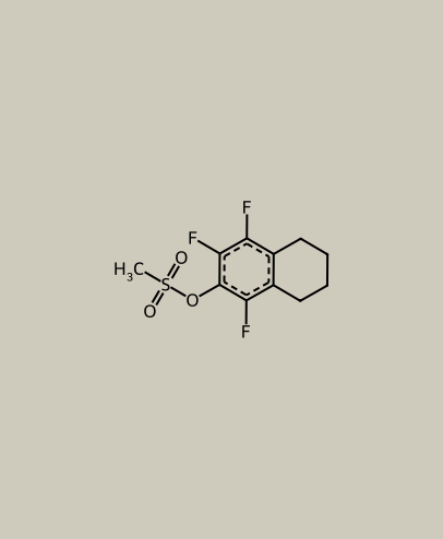 CS(=O)(=O)Oc1c(F)c(F)c2c(c1F)CCCC2